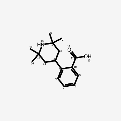 CC1(C)CC(c2ccccc2C(=O)O)CC(C)(C)N1